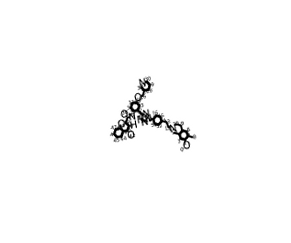 COc1cc2c(cc1C)CCN(CCc1ccc(-n3nnc(-c4cc(OCc5cccnc5)ccc4NC(=O)c4cc(=O)c5ccccc5o4)n3)cc1)C2